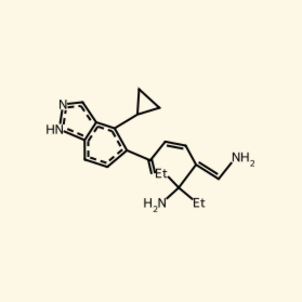 C=C(/C=C\C(=C/N)C(N)(CC)CC)c1ccc2[nH]ncc2c1C1CC1